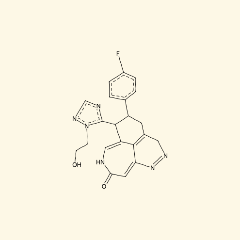 O=C1C=C2N=NCC3=C2C(=CN1)C(c1ncnn1CCO)C(c1ccc(F)cc1)C3